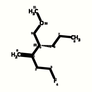 C=C(CCF)[C@@H](CCC)COC